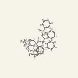 CCC(CC)(N[PH](CC[PH](I)(c1ccccc1)c1ccccc1)(c1ccccc1)c1ccccc1)N(S(=O)(=O)C(F)(F)F)S(=O)(=O)C(F)(F)F